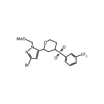 COCn1nc(Br)cc1C1CC(S(=O)(=O)c2cccc(C(F)(F)F)c2)CCO1